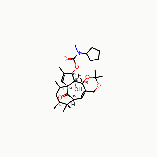 CC1=C[C@]23C(=O)[C@@H](C=C4COC(C)(C)O[C@H]4[C@]2(O)[C@H]1OC(=O)N(C)C1CCCC1)C(C)(C)[C@@H](C)C[C@H]3C